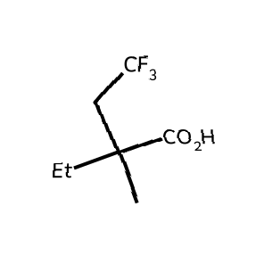 CCC(C)(CC(F)(F)F)C(=O)O